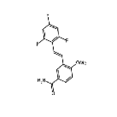 COc1ccc(C(N)=O)cc1/C=C/c1c(F)cc(F)cc1F